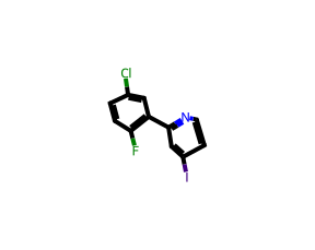 Fc1ccc(Cl)cc1-c1cc(I)ccn1